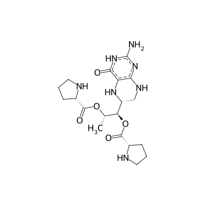 C[C@H](OC(=O)[C@@H]1CCCN1)[C@H](OC(=O)[C@@H]1CCCN1)[C@H]1CNc2nc(N)[nH]c(=O)c2N1